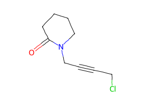 O=C1CCCCN1CC#CCCl